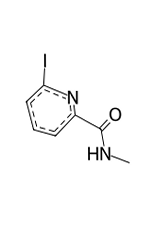 CNC(=O)c1cccc(I)n1